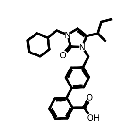 CCC(C)c1cn(CC2CCCCC2)c(=O)n1Cc1ccc(-c2ccccc2C(=O)O)cc1